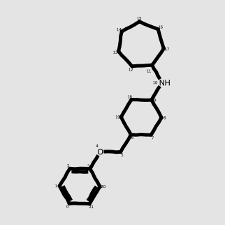 c1ccc(OCC2CCC(NC3CCCCCC3)CC2)cc1